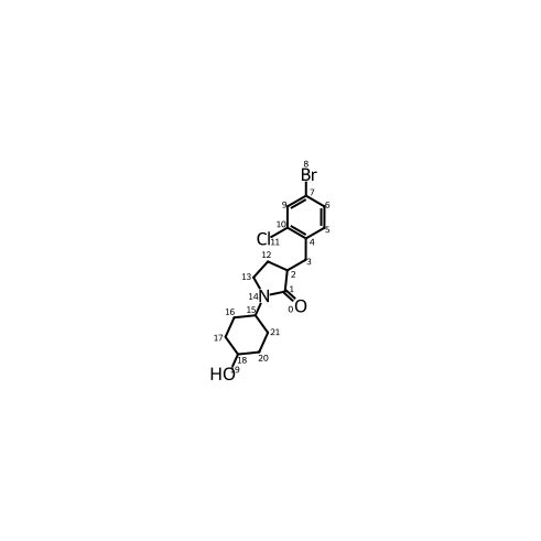 O=C1C(Cc2ccc(Br)cc2Cl)CCN1C1CCC(O)CC1